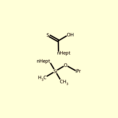 CCCCCCCC(O)=S.CCCCCCC[Si](C)(C)OC(C)C